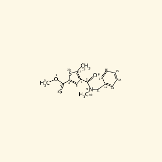 COC(=S)c1cc(C(=O)N(C)Cc2ccccc2)c(C)s1